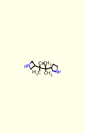 CC(C)(C1CCNC1)C(C)(C)C1CNC1